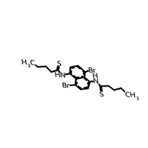 CCCCC(=S)Nc1ccc(Br)c2c(NC(=S)CCCC)ccc(Br)c12